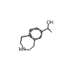 CC(O)c1ccc2c(c1)CCNCC2